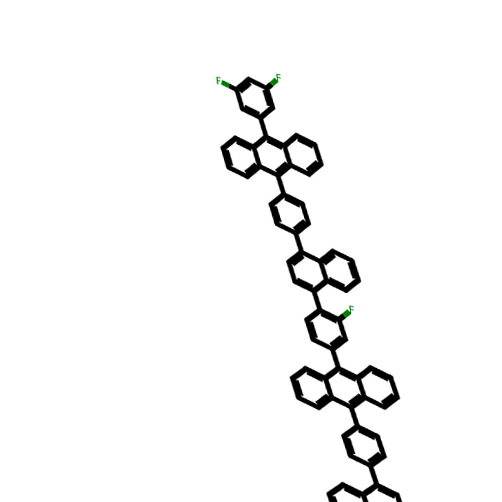 Fc1cc(F)cc(-c2c3ccccc3c(-c3ccc(-c4ccc(-c5ccc(-c6c7ccccc7c(-c7ccc(-c8cccc9ccccc89)cc7)c7ccccc67)cc5F)c5ccccc45)cc3)c3ccccc23)c1